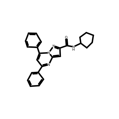 O=C(NC1CCCCC1)c1cc2nc(-c3ccccc3)cc(-c3ccccc3)n2n1